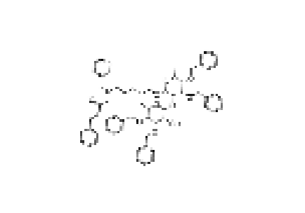 CC1O[C@@H](OC2C(OCc3ccccc3)[C@@H](OCc3ccccc3)C(C)O[C@H]2OCCCCCN(CC(=O)OCc2ccccc2)Cc2ccccc2)C(O)C(OCc2ccccc2)[C@H]1OCc1ccccc1